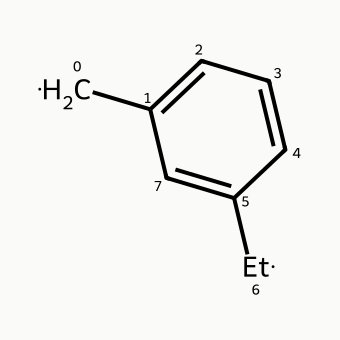 [CH2]c1cccc([CH]C)c1